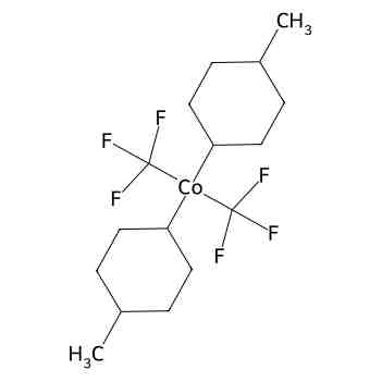 CC1CC[CH]([Co]([CH]2CCC(C)CC2)([C](F)(F)F)[C](F)(F)F)CC1